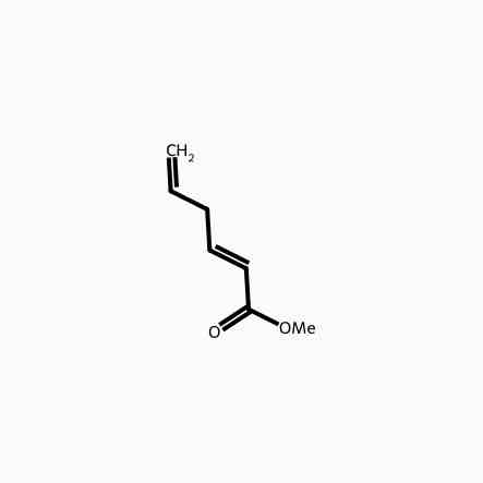 C=CCC=CC(=O)OC